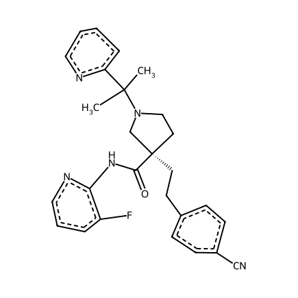 CC(C)(c1ccccn1)N1CC[C@@](CCc2ccc(C#N)cc2)(C(=O)Nc2ncccc2F)C1